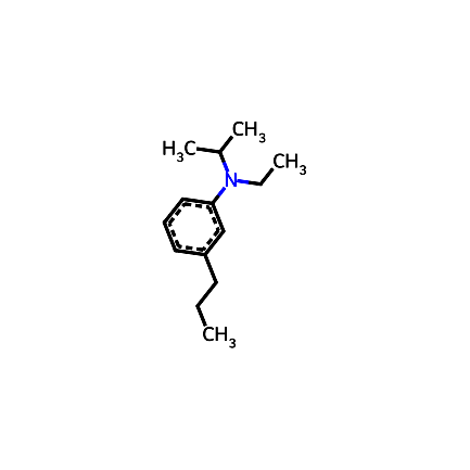 CCCc1cccc(N(CC)C(C)C)c1